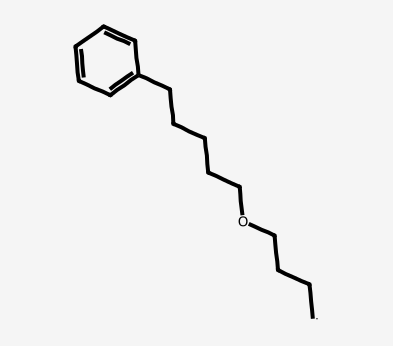 [CH2]CCCOCCCCCc1ccccc1